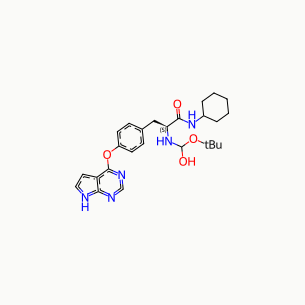 CC(C)(C)OC(O)N[C@@H](Cc1ccc(Oc2ncnc3[nH]ccc23)cc1)C(=O)NC1CCCCC1